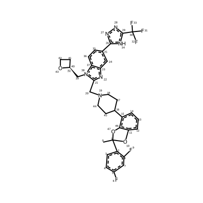 CC1(c2ccc(F)cc2F)Oc2cccc(C3CCN(Cc4nc5cc(-c6nnc(C(F)(F)F)[nH]6)ccc5n4C[C@@H]4CCO4)CC3)c2O1